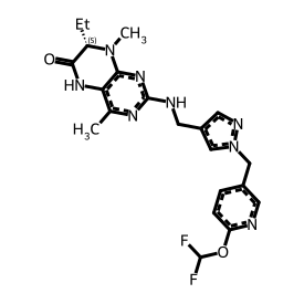 CC[C@H]1C(=O)Nc2c(C)nc(NCc3cnn(Cc4ccc(OC(F)F)nc4)c3)nc2N1C